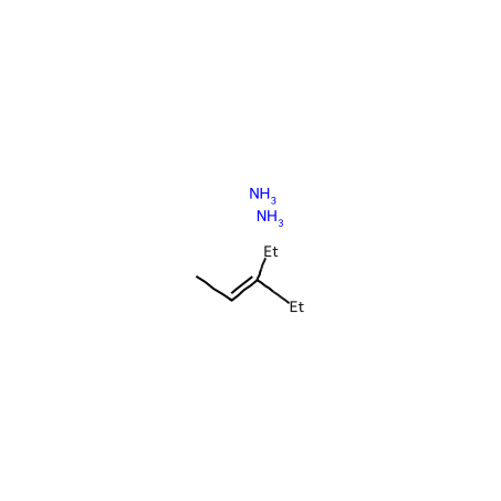 CC=C(CC)CC.N.N